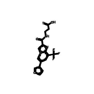 O=C(O)CCNC(=O)c1cn2cc(-c3ccoc3)cc(C(F)(F)F)c2n1